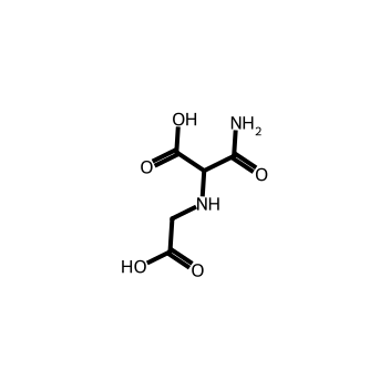 NC(=O)C(NCC(=O)O)C(=O)O